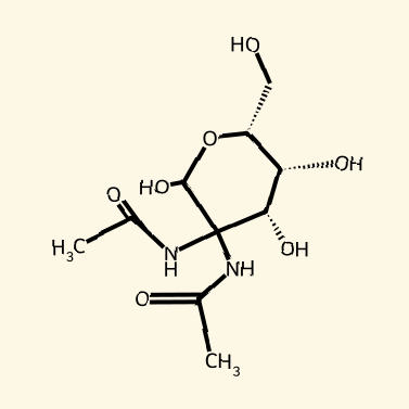 CC(=O)NC1(NC(C)=O)C(O)O[C@H](CO)[C@H](O)[C@@H]1O